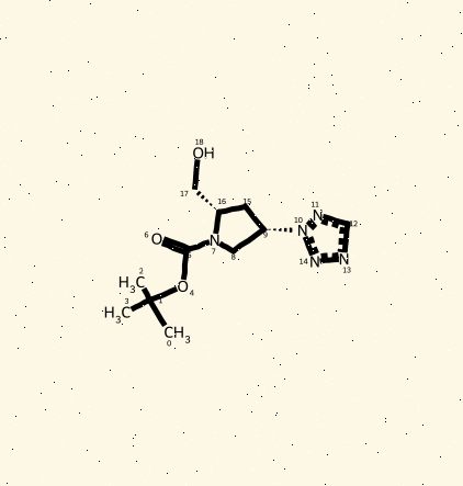 CC(C)(C)OC(=O)N1C[C@@H](n2ncnn2)C[C@H]1CO